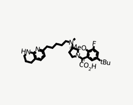 COc1c(F)cc(C(C)(C)C)cc1[C@@H](C(=O)O)N1CC[C@@H](N(C)CCCCCc2ccc3c(n2)NCCC3)C1